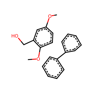 COc1ccc(OC)c(CO)c1.c1ccc(-c2ccccc2)cc1